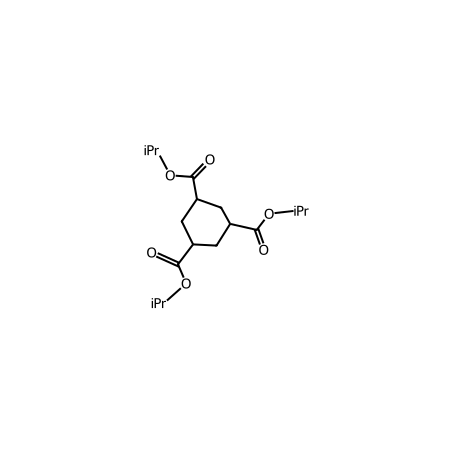 CC(C)OC(=O)C1CC(C(=O)OC(C)C)CC(C(=O)OC(C)C)C1